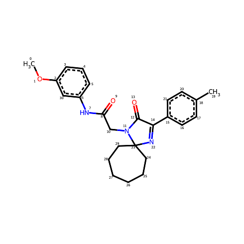 COc1cccc(NC(=O)CN2C(=O)C(c3ccc(C)cc3)=NC23CCCCCC3)c1